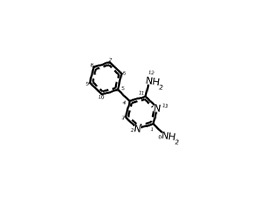 Nc1ncc(-c2ccccc2)c(N)n1